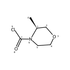 C[C@H]1COCCN1C(=O)Cl